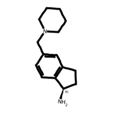 N[C@@H]1CCc2cc(CN3CCCCC3)ccc21